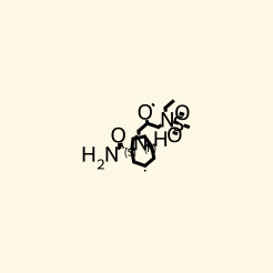 CCN(CC(CN1[C@@H]2C[CH]C[C@@]1(C(N)=O)CC2)OC)S(C)(=O)=O